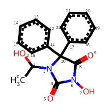 CC(O)N1C(=O)N(O)C(=O)C1(c1ccccc1)c1ccccc1